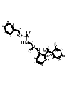 O=C(CNC(=O)OCc1ccccc1)Nc1ccccc1C(=O)c1ccccc1F